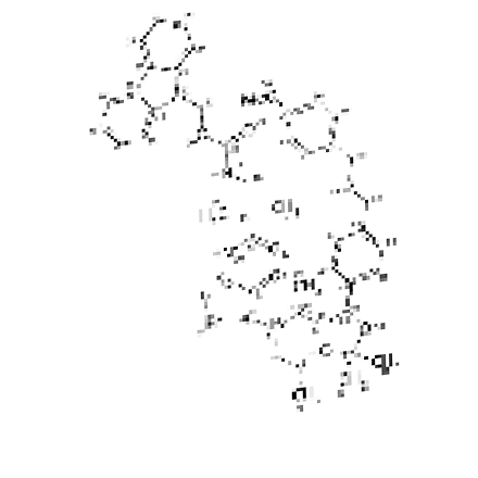 C=CC[C@H](OC(=O)[C@H](CC(C)C)NC(=O)C(C)(C)CNC(=O)OCC1c2ccccc2-c2ccccc21)[C@H](C)[C@H]1OC(C)(C)O[C@@H]1c1ccc(COCc2ccc(OC)cc2)cc1